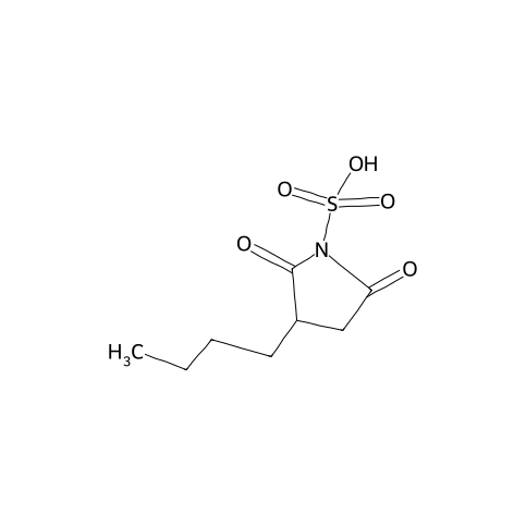 CCCCC1CC(=O)N(S(=O)(=O)O)C1=O